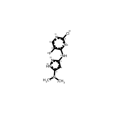 CN(C)c1cc(Nc2nc(Cl)ncc2F)n[nH]1